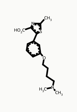 Cc1nc(C(=O)O)c(-c2cccc(OCCCCN(C)C)c2)s1